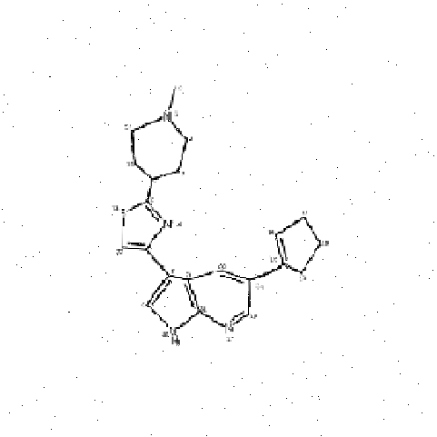 CN1CCC(c2nc(-c3c[nH]c4ncc(C5=CCCC5)cc34)cs2)CC1